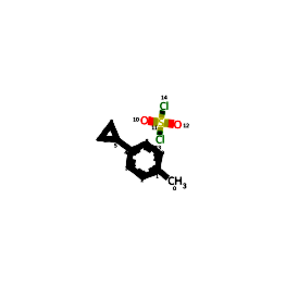 Cc1ccc(C2CC2)cc1.O=S(=O)(Cl)Cl